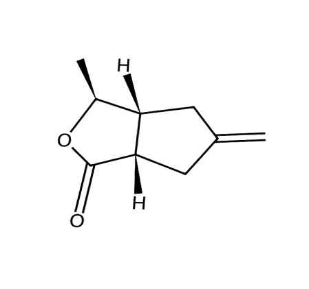 C=C1C[C@H]2[C@H](C)OC(=O)[C@H]2C1